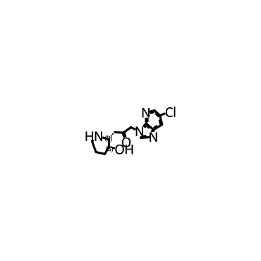 O=C(C[C@H]1NCCC[C@@H]1O)Cn1cnc2cc(Cl)cnc21